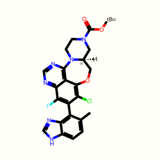 Cc1ccc2[nH]cnc2c1-c1c(Cl)c2c3c(ncnc3c1F)N1CCN(C(=O)OC(C)(C)C)C[C@H]1CO2